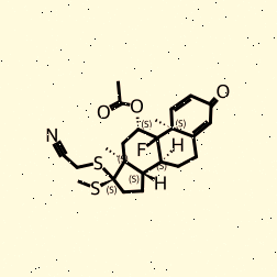 CS[C@]1(SCC#N)CC[C@H]2[C@@H]3CCC4=CC(=O)C=C[C@]4(C)C3(F)[C@@H](OC(C)=O)C[C@@]21C